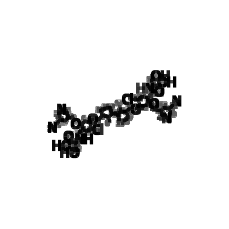 Cc1c(COc2cc(OCc3cncc(C#N)c3)c(CNC(CO)C(=O)O)cc2Cl)cccc1-c1cccc(COc2cc(OCc3cncc(C#N)c3)c(CNC(CO)C(=O)O)cc2Cl)c1C